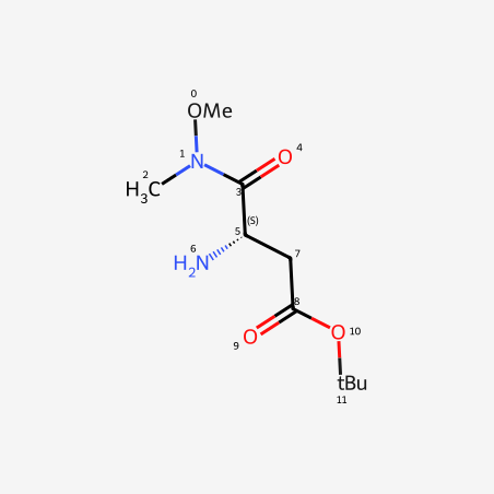 CON(C)C(=O)[C@@H](N)CC(=O)OC(C)(C)C